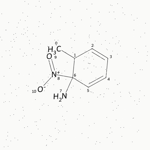 CC1C=CC=CC1(N)[N+](=O)[O-]